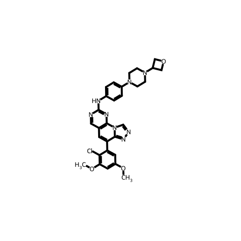 COc1cc(OC)c(Cl)c(-c2cc3cnc(Nc4ccc(N5CCN(C6COC6)CC5)cc4)nc3n3cnnc23)c1